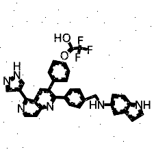 O=C(O)C(F)(F)F.c1ccc(-c2cc3c(-c4cn[nH]c4)nccc3nc2-c2ccc(CNc3ccc4[nH]ccc4c3)cc2)cc1